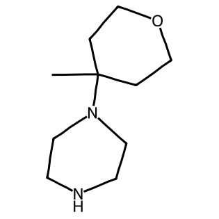 CC1(N2CCNCC2)CCOCC1